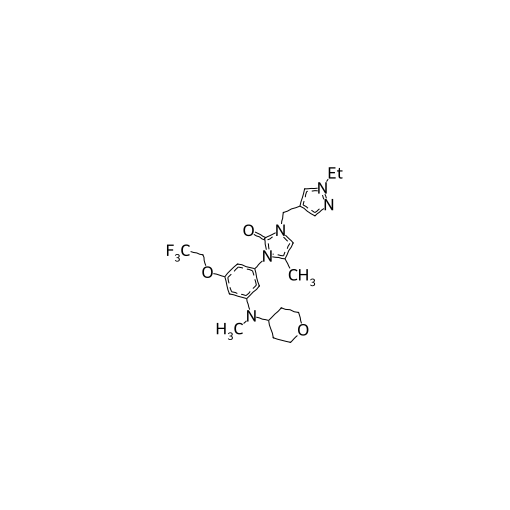 CCn1cc(Cn2cc(C)n(-c3cc(OCC(F)(F)F)cc(N(C)C4CCOCC4)c3)c2=O)cn1